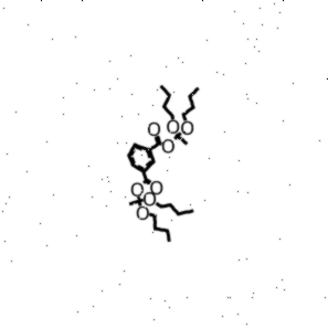 CCCCOC(C)(OCCCC)OC(=O)c1cccc(C(=O)OC(C)(OCCCC)OCCCC)c1